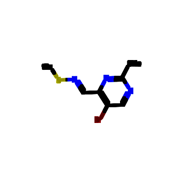 CSc1ncc(Br)c(C=NSC(C)(C)C)n1